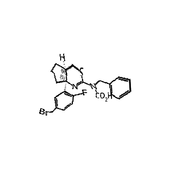 O=C(O)N(Cc1ccccc1)C1=N[C@@]2(c3cc(Br)ccc3F)CCC[C@H]2CS1